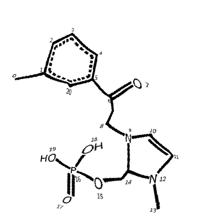 Cc1cccc(C(=O)CN2C=CN(C)C2OP(=O)(O)O)c1